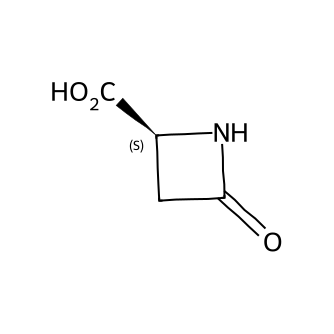 O=C1C[C@@H](C(=O)O)N1